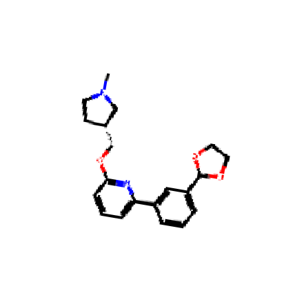 CN1CC[C@@H](COc2cccc(-c3cccc(C4OCCO4)c3)n2)C1